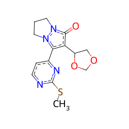 CSc1nccc(-c2c(C3COCO3)c(=O)n3n2CCC3)n1